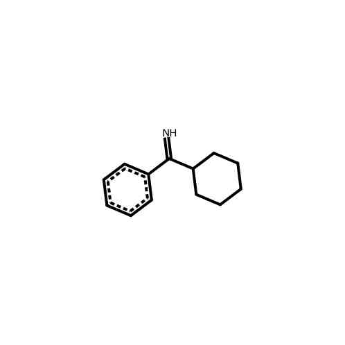 N=C(c1ccccc1)C1CCCCC1